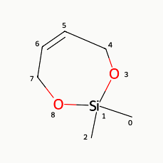 C[Si]1(C)OCC=CCO1